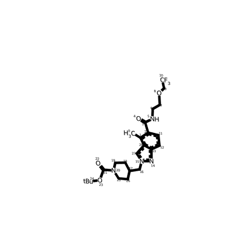 Cc1c(C(=O)NCCOCC(F)(F)F)ccc2nn(CC3CCN(C(=O)OC(C)(C)C)CC3)cc12